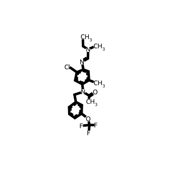 CCN(C)C=Nc1cc(C)c(N(Cc2cccc(OC(F)(F)F)c2)C(C)=O)cc1Cl